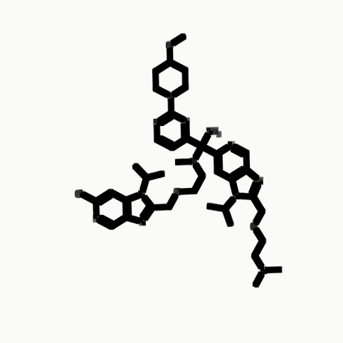 COC1CCN(c2nccc(C(N)(c3cc4c(cn3)nc(COCCN(C)C)n4C(C)C)N(C)CCOCc3nc4cnc(Cl)cc4n3C(C)C)n2)CC1